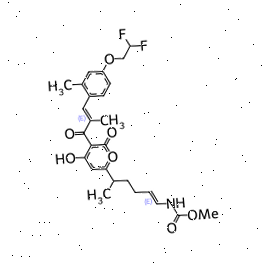 COC(=O)N/C=C/CCC(C)c1cc(O)c(C(=O)/C(C)=C/c2ccc(OCC(F)F)cc2C)c(=O)o1